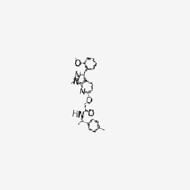 COc1ccccc1-c1nn(C)c2nc(OCC(=O)NC(C)c3ccc(C)cc3)ccc12